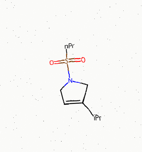 CCCS(=O)(=O)N1CC=C(C(C)C)C1